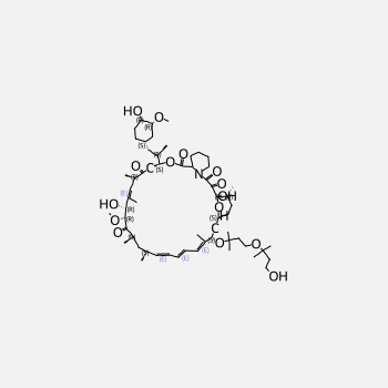 CO[C@@H]1C[C@H](C[C@@H](C)[C@@H]2CC(=O)[C@H](C)/C=C(\C)[C@@H](O)[C@@H](OC)C(=O)[C@H](C)C[C@H](C)/C=C/C=C/C=C(\C)[C@@H](OC(C)(C)CCOC(C)(C)CCO)C[C@@H]3CC[C@@H](C)[C@@](O)(O3)C(=O)C(=O)N3CCCCC3C(=O)O2)CC[C@H]1O